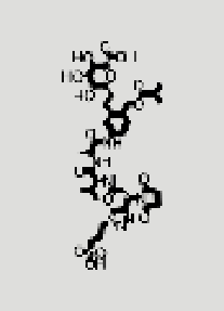 CC(C)C(=O)OCc1ccc(NC(=O)[C@H](C)NC(=O)[C@@H](NC(=O)C[C@@H](c2cn(CCCS(=O)(=O)O)nn2)N2C(=O)C=CC2=O)C(C)C)cc1CC[C@@H]1O[C@H](C(=O)O)[C@@H](O)[C@H](O)[C@H]1O